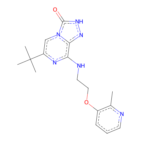 Cc1ncccc1OCCNc1nc(C(C)(C)C)cn2c(=O)[nH]nc12